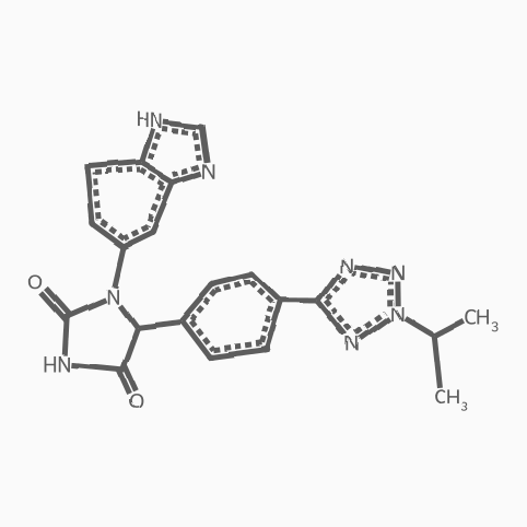 CC(C)n1nnc(-c2ccc(C3C(=O)NC(=O)N3c3ccc4[nH]cnc4c3)cc2)n1